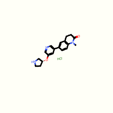 CN1C(=O)CCc2cc(-c3cncc(O[C@@H]4CCNC4)c3)ccc21.Cl